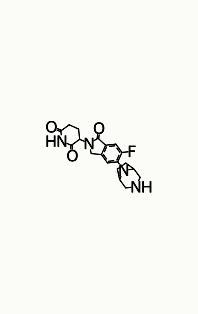 O=C1CCC(N2Cc3cc(N4C5CCC4CNC5)c(F)cc3C2=O)C(=O)N1